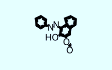 O=COc1cc2ccccc2c(N=Nc2ccccc2)c1O